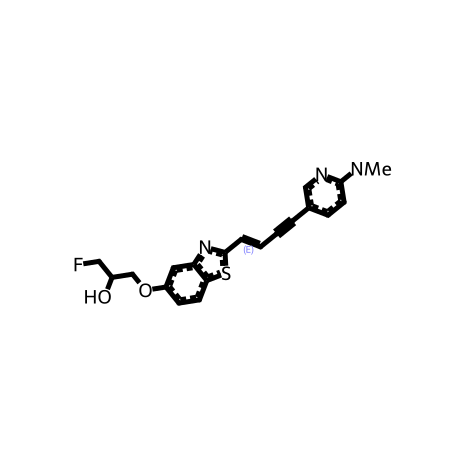 CNc1ccc(C#C/C=C/c2nc3cc(OCC(O)CF)ccc3s2)cn1